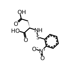 O=C(O)C[C@H](NSc1ccccc1[N+](=O)[O-])C(=O)O